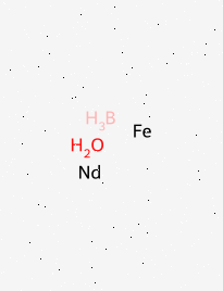 B.O.[Fe].[Nd]